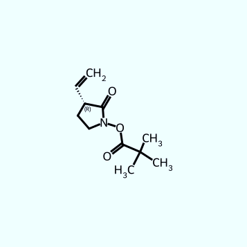 C=C[C@H]1CCN(OC(=O)C(C)(C)C)C1=O